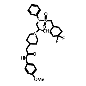 COc1ccc(NC(=O)CC2CCN([C@H](C)CN(c3ccccc3)S(=O)(=O)CC3CCC(F)(F)CC3)CC2)cc1